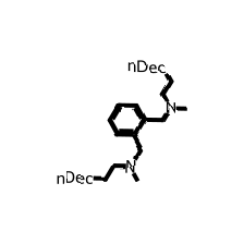 CCCCCCCCCCCCN(C)Cc1ccccc1CN(C)CCCCCCCCCCCC